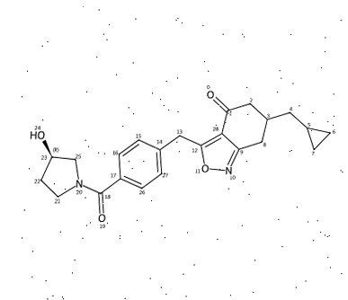 O=C1CC(CC2CC2)Cc2noc(Cc3ccc(C(=O)N4CC[C@@H](O)C4)cc3)c21